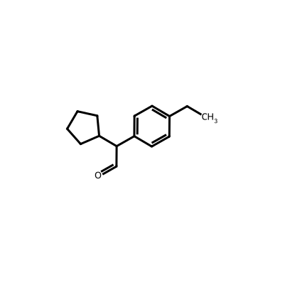 CCc1ccc(C(C=O)C2CCCC2)cc1